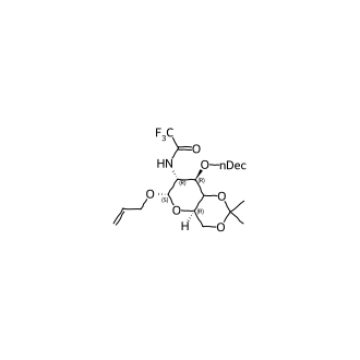 C=CCO[C@H]1O[C@@H]2COC(C)(C)OC2[C@H](OCCCCCCCCCC)[C@H]1NC(=O)C(F)(F)F